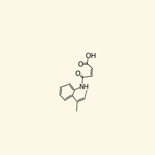 C/C=C(/C)c1ccccc1NC(=O)/C=C\C(=O)O